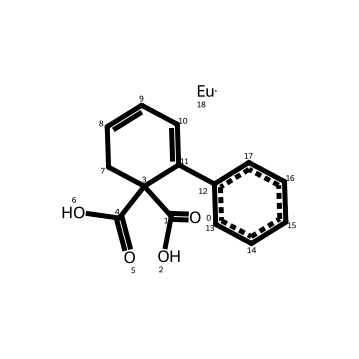 O=C(O)C1(C(=O)O)CC=CC=C1c1ccccc1.[Eu]